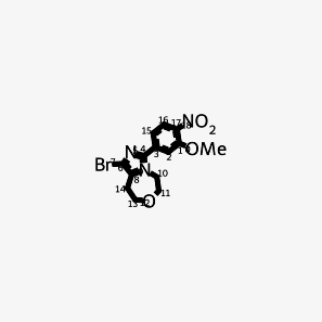 COc1cc(-c2nc(Br)c3n2CCOCC3)ccc1[N+](=O)[O-]